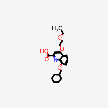 CCOCCOc1cc(C(=O)O)nc2c(OCC3CCCCC3)cccc12